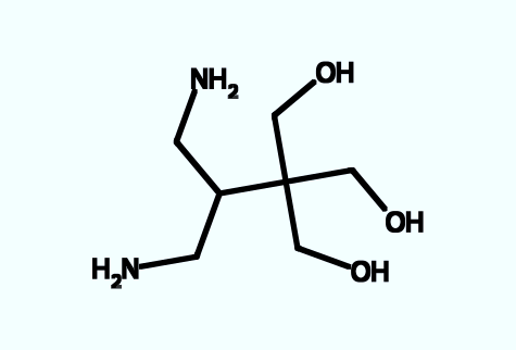 NCC(CN)C(CO)(CO)CO